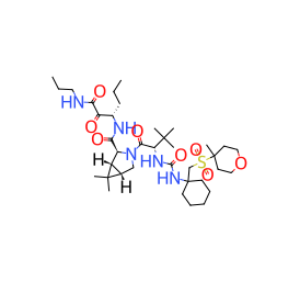 CCCNC(=O)C(=O)[C@H](CCC)NC(=O)[C@@H]1[C@@H]2[C@H](CN1C(=O)[C@@H](NC(=O)NC1(CS(=O)(=O)C3(C)CCOCC3)CCCCC1)C(C)(C)C)C2(C)C